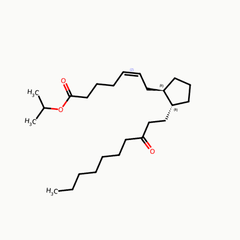 CCCCCCCC(=O)CC[C@H]1CCC[C@@H]1C/C=C\CCCC(=O)OC(C)C